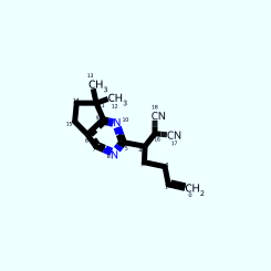 C=CCCC(c1ncc2c(n1)C(C)(C)CC2)C(C#N)C#N